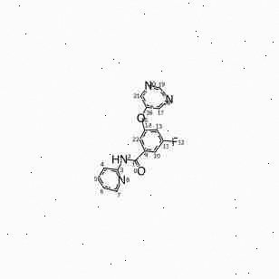 O=C(Nc1ccccn1)c1cc(F)cc(Oc2cncnc2)c1